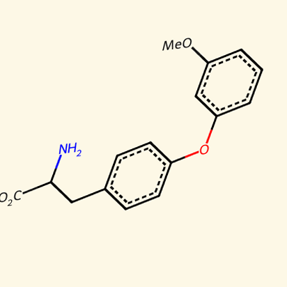 COc1cccc(Oc2ccc(CC(N)C(=O)O)cc2)c1